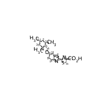 Cc1cc(C)c(COc2ccc3nc(C4=N[C@@H](C(=O)O)CS4)sc3c2)c(C)c1